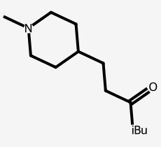 CCC(C)C(=O)CCC1CCN(C)CC1